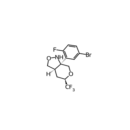 Fc1ccc(Br)cc1[C@]12CO[C@@H](C(F)(F)F)C[C@H]1CON2